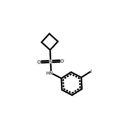 O=S(=O)(Nc1cccc(I)c1)C1CCC1